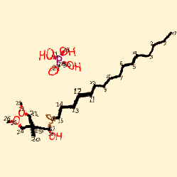 CCCCCCCCCCCCCCCCSC(O)C(C)(COC)COC.O=P(O)(O)O